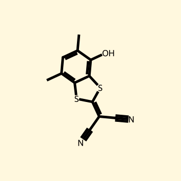 Cc1cc(C)c2c(c1O)SC(=C(C#N)C#N)S2